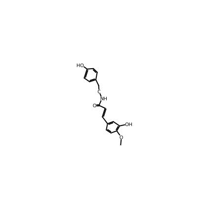 COc1ccc(C=CC(=O)NCCc2ccc(O)cc2)cc1O